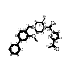 COc1cc(-c2ccccc2)ccc1CN1CCN(C(=O)n2ccc(C(C)=O)n2)[C@H](C)C1